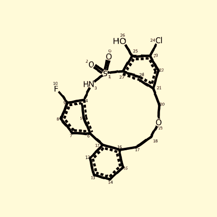 O=S1(=O)Nc2cc(ccc2F)-c2ccccc2CCOCc2cc(Cl)c(O)c1c2